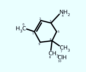 CC1=CC(N)CC(C)(C)C1.Cl